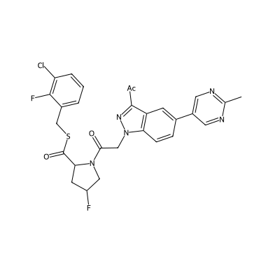 CC(=O)c1nn(CC(=O)N2CC(F)CC2C(=O)SCc2cccc(Cl)c2F)c2ccc(-c3cnc(C)nc3)cc12